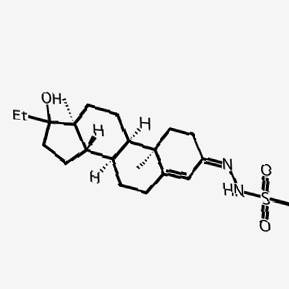 CCC1(O)CC[C@H]2[C@@H]3CCC4=CC(=NNS(C)(=O)=O)CC[C@]4(C)[C@@H]3CC[C@@]21C